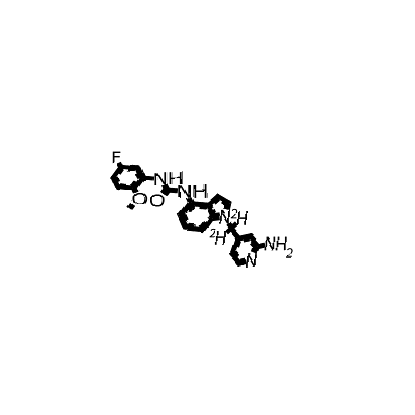 [2H]C([2H])(c1ccnc(N)c1)n1ccc2c(NC(=O)Nc3cc(F)ccc3OC)cccc21